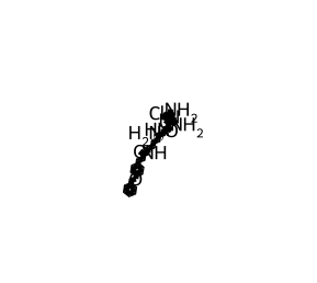 Nc1nc(N)c(C(=O)NC[C@@H](N)CCCCNC(=O)CCc2ccc(OCc3ccccc3)cc2)nc1Cl